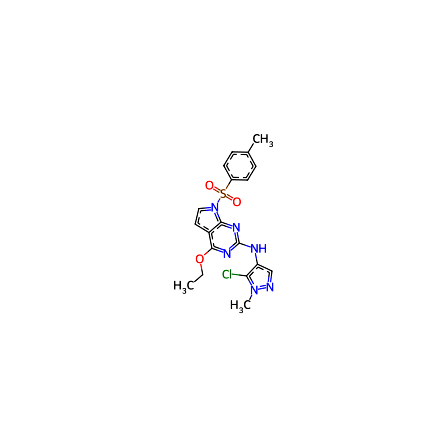 CCOc1nc(Nc2cnn(C)c2Cl)nc2c1ccn2S(=O)(=O)c1ccc(C)cc1